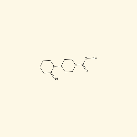 CC(C)(C)OC(=O)N1CCC(N2CCCCC2=N)CC1